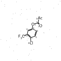 CC(=O)C(=O)Oc1ccc(Cl)c(C(F)(F)F)c1